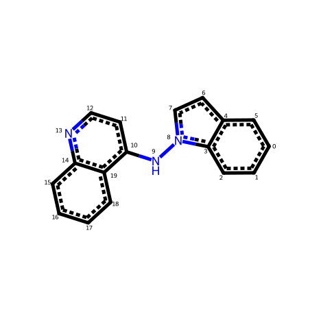 c1ccc2c(c1)ccn2Nc1ccnc2ccccc12